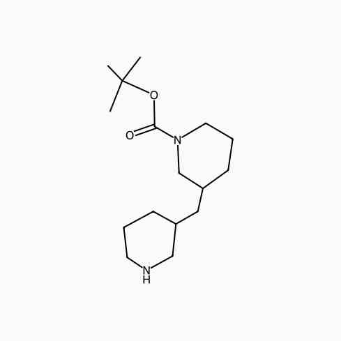 CC(C)(C)OC(=O)N1CCCC(CC2CCCNC2)C1